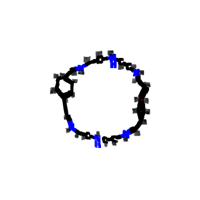 C1=C2/C=N/CCNCC/N=C/c3ccc(cc3)/C=N/CCNCC/N=C/C(=C1)CC2